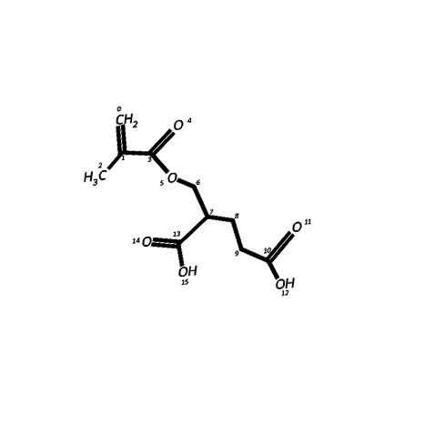 C=C(C)C(=O)OCC(CCC(=O)O)C(=O)O